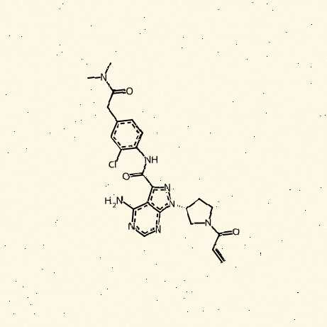 C=CC(=O)N1CC[C@@H](n2nc(C(=O)Nc3ccc(CC(=O)N(C)C)cc3Cl)c3c(N)ncnc32)C1